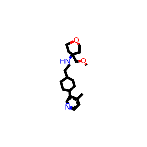 COCC1(NCCC2CCC(c3cnccc3C)CC2)CCOCC1